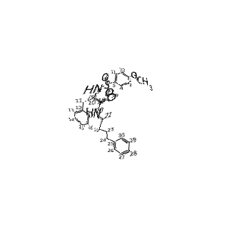 COc1ccc(S(=O)(=O)N[C@@H](Cc2cc[c]cc2)C(=O)NCCCCc2ccccc2)cc1